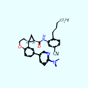 CN(C)c1ccc(-c2ccc3c(c2)[C@]2(CCO3)C[C@H]2C(=O)Nc2cc(C#N)ccc2CCCC(=O)O)cn1